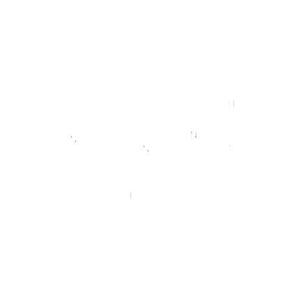 CC(C)(C)C1(C)CN(c2cnccc2Cl)CCN1C(=O)O